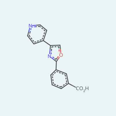 O=C(O)c1cccc(-c2nc(-c3ccncc3)co2)c1